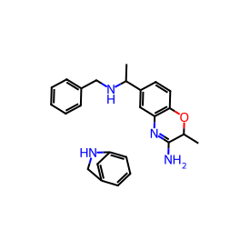 CC1Oc2ccc(C(C)NCc3ccccc3)cc2N=C1N.c1cc2cc(c1)NC2